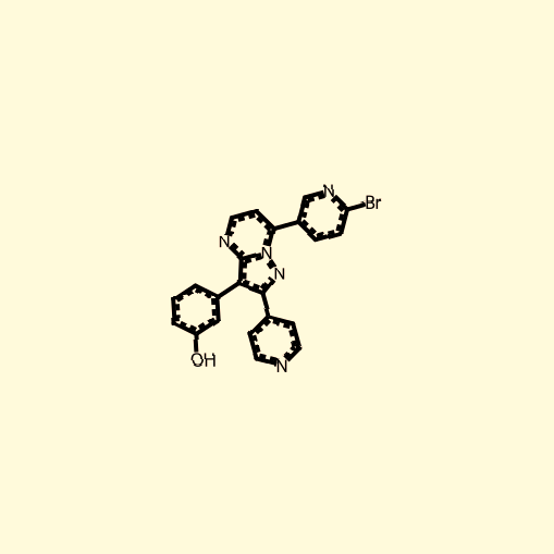 Oc1cccc(-c2c(-c3ccncc3)nn3c(-c4ccc(Br)nc4)ccnc23)c1